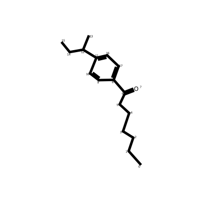 CCCCCCC(=O)c1ccc(C(C)CC)cc1